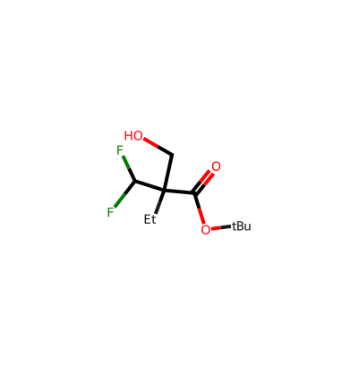 CCC(CO)(C(=O)OC(C)(C)C)C(F)F